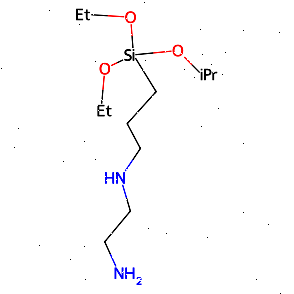 CCO[Si](CCCNCCN)(OCC)OC(C)C